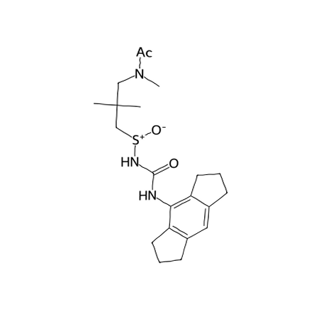 CC(=O)N(C)CC(C)(C)C[S+]([O-])NC(=O)Nc1c2c(cc3c1CCC3)CCC2